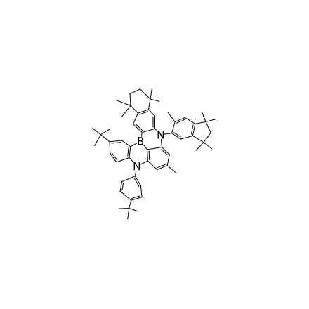 Cc1cc2c3c(c1)N(c1cc4c(cc1C)C(C)(C)CC4(C)C)c1cc4c(cc1B3c1cc(C(C)(C)C)ccc1N2c1ccc(C(C)(C)C)cc1)C(C)(C)CCC4(C)C